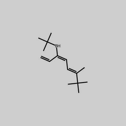 C=C/C(BC(C)(C)C)=C\C=C(/C)C(C)(C)C